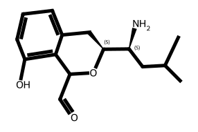 CC(C)C[C@H](N)[C@@H]1Cc2cccc(O)c2C(C=O)O1